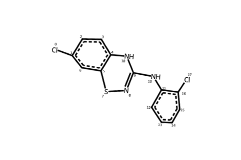 Clc1ccc2c(c1)SN=C(Nc1ccccc1Cl)N2